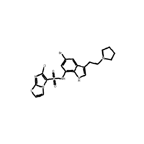 O=S(=O)(Nc1cc(Br)cc2c(CCN3CCCC3)c[nH]c12)c1c(Cl)nc2sccn12